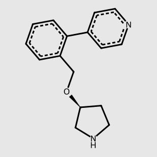 c1ccc(-c2ccncc2)c(CO[C@H]2CCNC2)c1